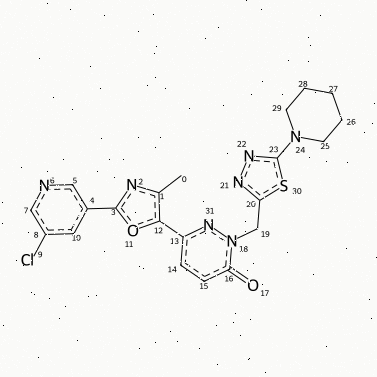 Cc1nc(-c2cncc(Cl)c2)oc1-c1ccc(=O)n(Cc2nnc(N3CCCCC3)s2)n1